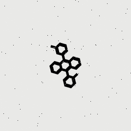 Cc1cccc(-c2c3ccccc3c(-c3ccccc3C)c3ccccc23)c1